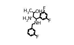 C[C@@H](O)[C@@H](N)C(NCc1cccc(F)c1)c1cc(F)cc(F)c1